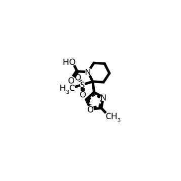 Cc1nc(C2(S(C)(=O)=O)CCCCN2C(=O)O)co1